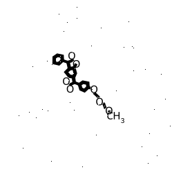 COCCOCCOc1ccc(C2=c3cc4c(cc3OC2=O)=C(c2ccccc2)C(=O)O4)cc1